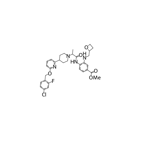 COC(=O)c1ccc(NC(=O)C(C)N2CCC(c3cccc(OCc4ccc(Cl)cc4F)n3)CC2)c(NCC2CCO2)c1